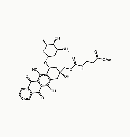 COC(=O)CCNC(=O)OC[C@]1(O)Cc2c(O)c3c(c(O)c2[C@@H](O[C@H]2C[C@H](N)[C@H](O)[C@H](C)O2)C1)C(=O)c1ccccc1C3=O